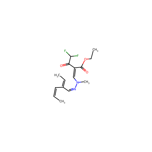 C\C=C/C(/C=N\N(C)/C=C(\C(=O)OCC)C(=O)C(F)F)=C\C